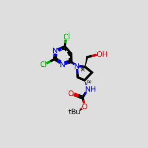 CC(C)(C)OC(=O)N[C@H]1C[C@H](CO)N(c2cc(Cl)nc(Cl)n2)C1